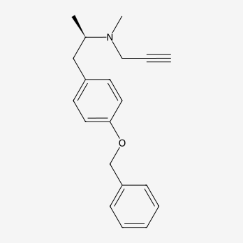 C#CCN(C)[C@H](C)Cc1ccc(OCc2ccccc2)cc1